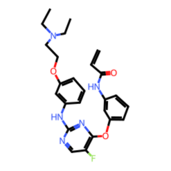 C=CC(=O)Nc1cccc(Oc2nc(Nc3cccc(OCCN(CC)CC)c3)ncc2F)c1